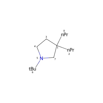 CCCC1(CCC)CCN(C(C)(C)C)C1